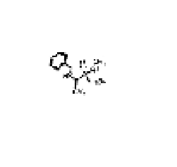 C=C(NCc1ccccc1)C(C)(CC(C)(C)C)PC